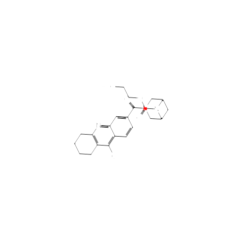 CCCOC(=O)N1C2CC1CN(C(=O)c1ccc3c(Cl)c4c(nc3c1)CCCC4)C2